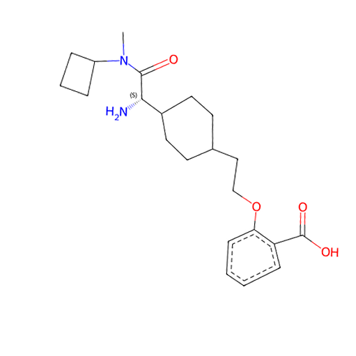 CN(C(=O)[C@@H](N)C1CCC(CCOc2ccccc2C(=O)O)CC1)C1CCC1